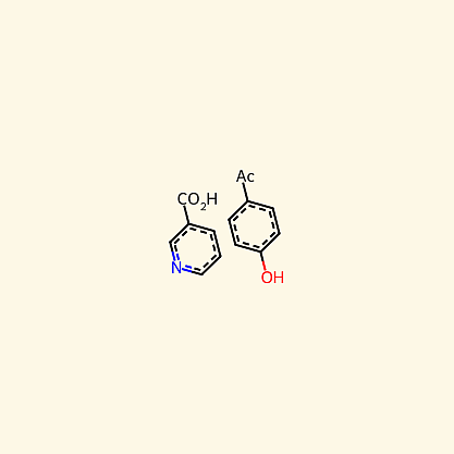 CC(=O)c1ccc(O)cc1.O=C(O)c1cccnc1